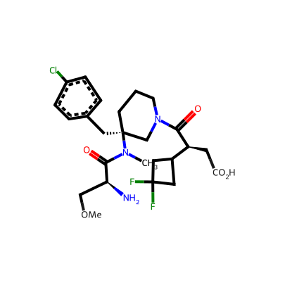 COC[C@H](N)C(=O)N(C)[C@@]1(Cc2ccc(Cl)cc2)CCCN(C(=O)[C@@H](CC(=O)O)C2CC(F)(F)C2)C1